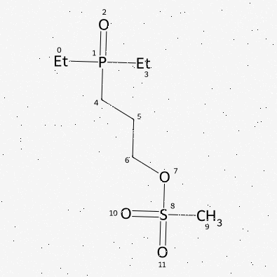 CCP(=O)(CC)CCCOS(C)(=O)=O